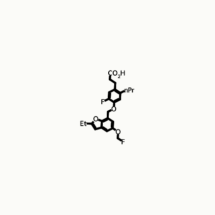 CCCc1cc(OCc2cc(OCF)cc3cc(CC)oc23)c(F)cc1CCC(=O)O